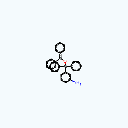 Nc1cccc([Si](O[SiH](c2ccccc2)c2ccccc2)(c2ccccc2)c2ccccc2)c1